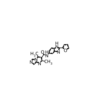 Cc1nc2cncn2c(C)c1C(=O)Nc1ccc2[nH]c(-c3ccco3)nc2c1